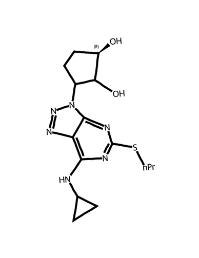 CCCSc1nc(NC2CC2)c2nnn(C3CC[C@@H](O)C3O)c2n1